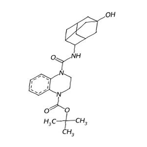 CC(C)(C)OC(=O)N1CCN(C(=O)NC2C3CC4CC2CC(O)(C4)C3)c2ccccc21